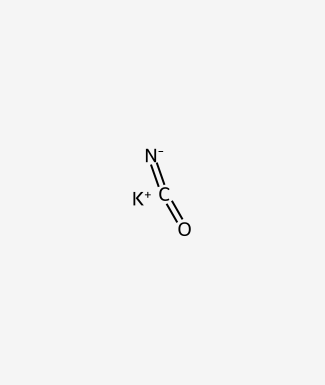 [K+].[N-]=C=O